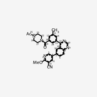 COc1ncc(-c2ccc3ncnc(-c4cc(C)cc(C(=O)N5CCN(C(C)=O)CC5)c4)c3c2)cc1C#N